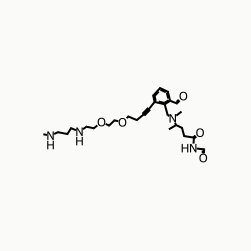 CNCCCNCCOCCOCCC#Cc1cccc(C=O)c1CN(C)C(C)CCC(=O)NC=O